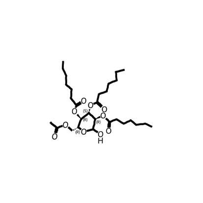 CCCCCCC(=O)O[C@H]1[C@H](OC(=O)CCCCCC)[C@@H](OC(=O)CCCCCC)C(O)O[C@@H]1COC(C)=O